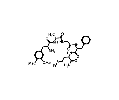 CCSCCC(NC(=O)C(Cc1ccccc1)NC(=O)CNC(=O)[C@@H](C)NC(=O)C(N)Cc1ccc(OC)c(OC)c1)C(N)=O